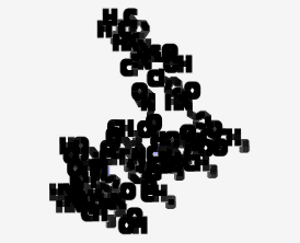 CC(C)(Oc1ccc(CCNC(=O)c2ccc(Cl)cc2)cc1)C(=O)O.CN(C)C(=N)NC(=N)N.COc1c(C)c2c(c(O)c1C/C=C(\C)CCC(=O)OCCN1CCOCC1)C(=O)OC2.COc1ccc(Cc2nccc3cc(OC)c(OC)cc23)cc1OC.Cc1cccc(Nc2cc(Cl)nc(SCC(=O)O)n2)c1C.O=C(O)CCNC(=O)c1ccc(/N=N/c2ccc(O)c(C(=O)O)c2)cc1